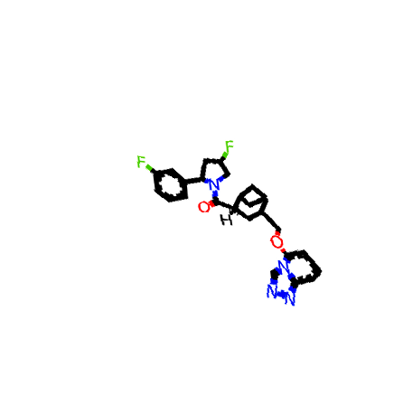 O=C([C@H]1CC(COc2cccc3nncn23)C2CC1C2)N1CC(F)CC1c1cccc(F)c1